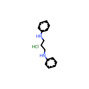 Cl.c1ccc(NCCCNc2ccccc2)cc1